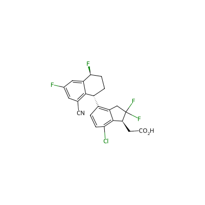 N#Cc1cc(F)cc2c1[C@@H](c1ccc(Cl)c3c1CC(F)(F)[C@H]3CC(=O)O)CC[C@@H]2F